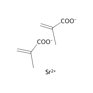 C=C(C)C(=O)[O-].C=C(C)C(=O)[O-].[Sr+2]